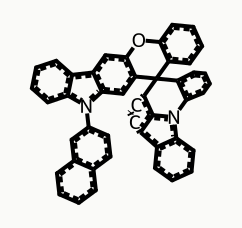 c1ccc2c(c1)Oc1cc3c4ccccc4n(-c4ccc5ccccc5c4)c3cc1C21c2ccccc2-n2c3ccccc3c3cccc1c32